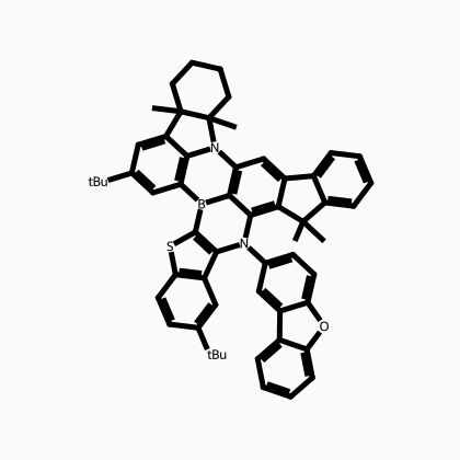 CC(C)(C)c1cc2c3c(c1)C1(C)CCCCC1(C)N3c1cc3c(c4c1B2c1sc2ccc(C(C)(C)C)cc2c1N4c1ccc2oc4ccccc4c2c1)C(C)(C)c1ccccc1-3